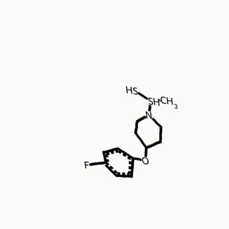 C[SH](S)N1CCC(Oc2ccc(F)cc2)CC1